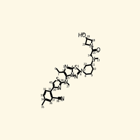 CCc1nc2sc(N3CCCC(N(C)CC(=O)N4CC(O)C4)C3)nn2c1N(C)c1nc(-c2ccc(C)cc2C#N)cs1